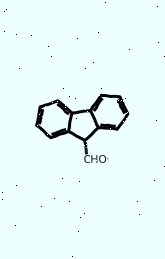 O=[C]C1c2ccccc2-c2ccccc21